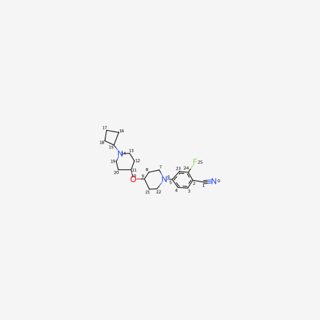 N#Cc1ccc(N2CCC(OC3CCN(C4CCC4)CC3)CC2)cc1F